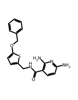 Nc1ccc(C(=O)NCc2ccc(OCc3ccccc3)s2)c(N)n1